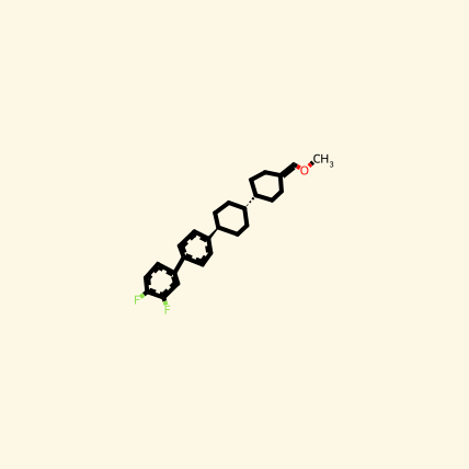 COC=C1CCC([C@H]2CC[C@H](c3ccc(-c4ccc(F)c(F)c4)cc3)CC2)CC1